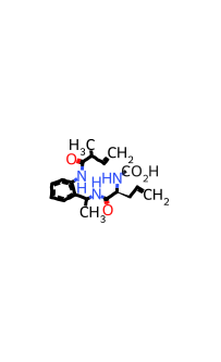 C=CC[C@H](NC(=O)O)C(=O)NC(C)c1ccccc1NC(=O)C(C)C=C